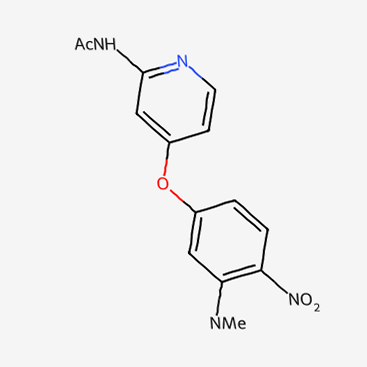 CNc1cc(Oc2ccnc(NC(C)=O)c2)ccc1[N+](=O)[O-]